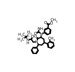 COC(=O)c1cccc(N(C(N)=O)C2CC(c3ccccc3C)CC(c3ccccc3)N(CC(=O)NC(C)(C)C)C2=O)c1